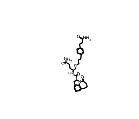 NC(=O)CCc1ccc(CCCOC[C@H](CCC(N)=O)NC(=O)[C@@H]2Cc3cccc4c3N2C(=O)CCC4)cc1